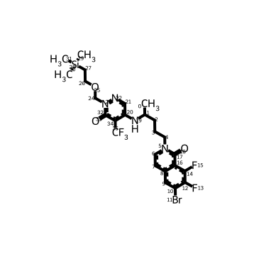 CC(CCCn1ccc2cc(Br)c(F)c(F)c2c1=O)Nc1cnn(COCC[Si](C)(C)C)c(=O)c1C(F)(F)F